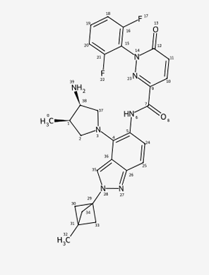 C[C@@H]1CN(c2c(NC(=O)c3ccc(=O)n(-c4c(F)cccc4F)n3)ccc3nn(C45CC(C)(C4)C5)cc23)C[C@@H]1N